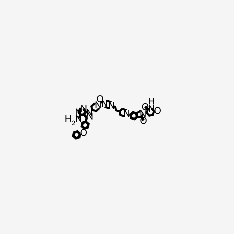 Nc1ncnc2c1c(-c1ccc(Oc3ccccc3)cc1)nn2C1CCN(C(=O)N2CCN(CCC3CCN(c4ccc5c(c4)CN(C4CCC(=O)NC4=O)C5=O)CC3)CC2)CC1